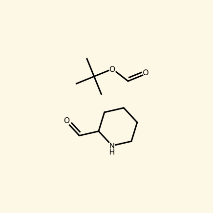 CC(C)(C)OC=O.O=CC1CCCCN1